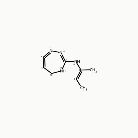 CC=C(C)NC1=NN=C=CCN1